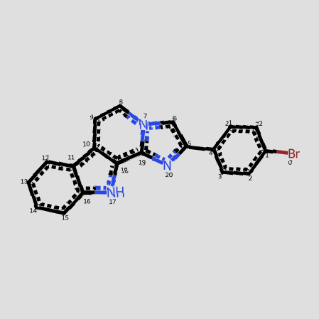 Brc1ccc(-c2cn3ccc4c5ccccc5[nH]c4c3n2)cc1